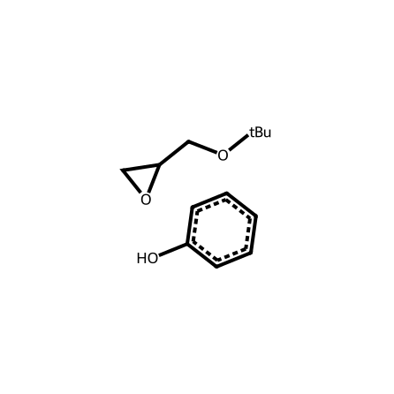 CC(C)(C)OCC1CO1.Oc1ccccc1